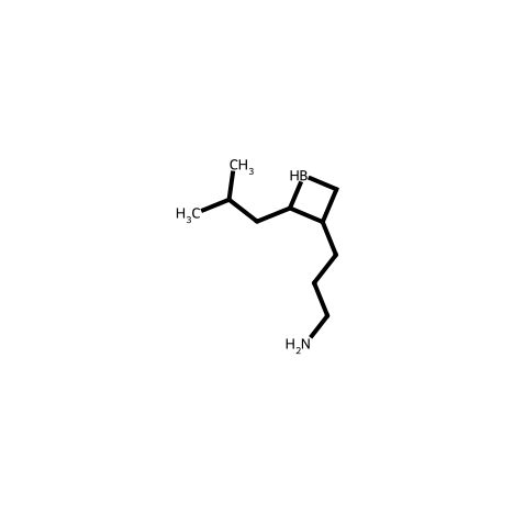 CC(C)CC1BCC1CCCN